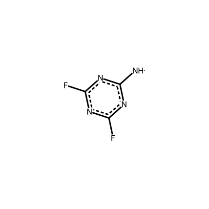 [NH]c1nc(F)nc(F)n1